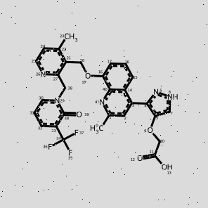 Cc1cc(-c2n[nH]cc2OCC(=O)O)c2cccc(OCc3c(C)ccnc3Cn3cccc(C(F)(F)F)c3=O)c2n1